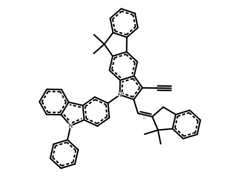 C#Cc1c(/C=C2\Cc3ccccc3C2(C)C)n(-c2ccc3c(c2)c2ccccc2n3-c2ccccc2)c2cc3c(cc12)-c1ccccc1C3(C)C